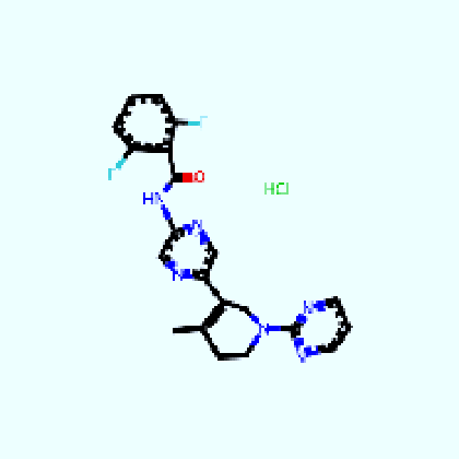 CC1=C(c2cnc(NC(=O)c3c(F)cccc3F)cn2)CN(c2ncccn2)CC1.Cl